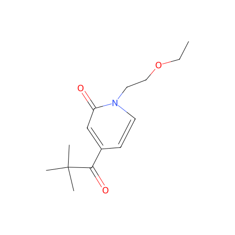 CCOCCn1ccc(C(=O)C(C)(C)C)cc1=O